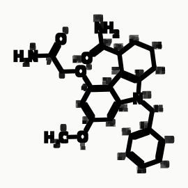 COc1cc(OCC(N)=O)c2c3c(n(Cc4ccccc4)c2c1)CCCC3C(N)=O